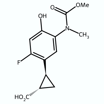 COC(=O)N(C)c1cc([C@H]2C[C@@H]2C(=O)O)c(F)cc1O